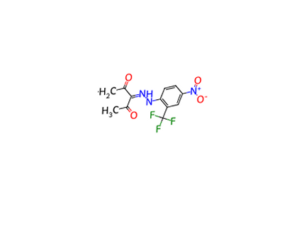 [CH2]C(=O)C(=NNc1ccc([N+](=O)[O-])cc1C(F)(F)F)C(C)=O